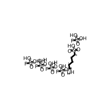 CCCCCS(=O)(=O)O.O=P(O)(O)F.O=P(O)(O)F.O=P(O)(O)F.O=P(O)(O)F.O=P(O)(O)F.[LiH]